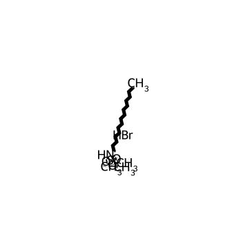 Br.CCCCCCCCCCCCCCCCN[Si](OC)(OC)OC